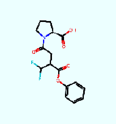 O=C(Oc1ccccc1)C(CC(=O)N1CCC[C@H]1C(=O)O)C(F)F